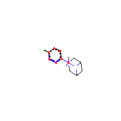 BC(B)(c1ccc(CC)nc1)N1C2CC1CN(c1ccc(Br)cn1)C2